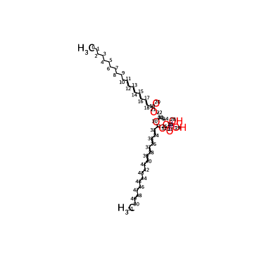 CCCCCCCCCCCC=CC=CC=CC=CC(=O)OC[C@H](COP(=O)(O)O)OC(=O)C=CC=CC=CC=CCCCCCCCCCCC